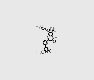 COCCOc1cc2c(cc1C(F)(F)F)NC(=O)CC(c1cccc(-c3cc(C)nc(C)c3)c1)=N2